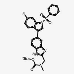 CN(Cc1nc2cc(-c3cn(S(=O)(=O)c4ccccc4)c4cc(F)ccc34)ccc2[nH]1)C(=O)OC(C)(C)C